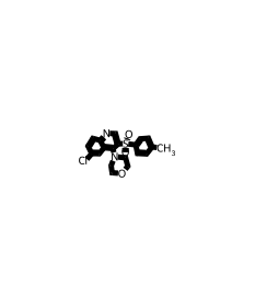 Cc1ccc(S(=O)(=O)c2cnc3ccc(Cl)cc3c2N2CCOCC2)cc1